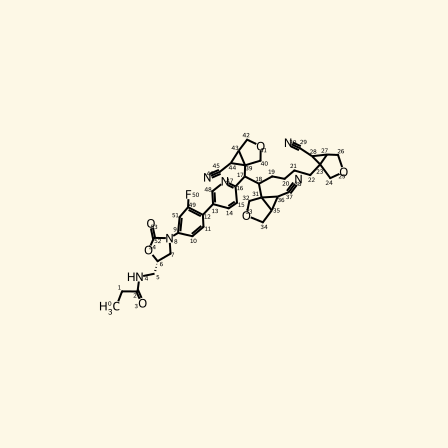 CCC(=O)NC[C@H]1CN(c2ccc(-c3ccc(C(C(CCCCC45COCC4C5C#N)C45COCC4C5C#N)C45COCC4C5C#N)nc3)c(F)c2)C(=O)O1